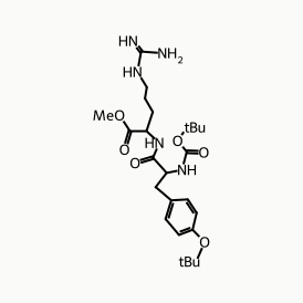 COC(=O)C(CCCNC(=N)N)NC(=O)C(Cc1ccc(OC(C)(C)C)cc1)NC(=O)OC(C)(C)C